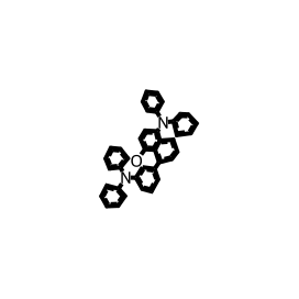 c1ccc(N(c2ccccc2)c2cccc3c2Oc2ccc(N(c4ccccc4)c4ccccc4)c4cccc-3c24)cc1